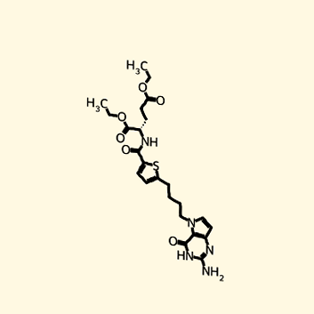 CCOC(=O)CC[C@H](NC(=O)c1ccc(CCCCn2ccc3nc(N)[nH]c(=O)c32)s1)C(=O)OCC